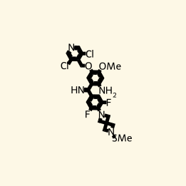 COc1cc(N)c(C(=N)c2cc(F)c(N3CC4(CN(SC)C4)C3)c(F)c2)cc1OCc1c(Cl)cncc1Cl